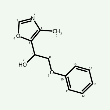 Cc1ncoc1C(O)COc1ccccc1